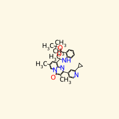 Cc1cc([C@H](C)Nc2ccccc2C(=O)OC(C)(C)C)c2nc(-c3ccnc(C4CC4)c3)c(C)c(=O)n2c1